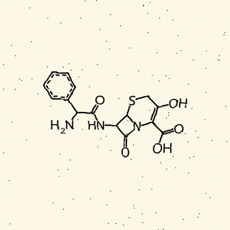 NC(C(=O)NC1C(=O)N2C(C(=O)O)=C(O)CSC12)c1ccccc1